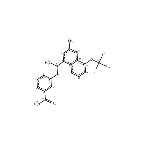 Cc1cc(N(C)Cc2cccc(C(N)=O)c2)c2cccc(OC(F)(F)F)c2n1